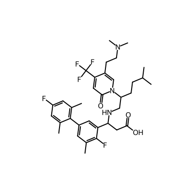 Cc1cc(-c2c(C)cc(F)cc2C)cc(C(CC(=O)O)NCC(CCC(C)C)n2cc(CCN(C)C)c(C(F)(F)F)cc2=O)c1F